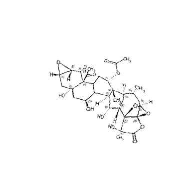 CC(=O)O[C@H]1CC2C([C@@H]3[C@@H](O)[C@@H]4[C@H]([C@H](C)[C@H]5O[C@]56OC(=O)[C@@](C)(O)[C@]46C)[C@@]13C)[C@@H](O)C[C@@]1(O)C[C@@H]3O[C@@H]3[C@H](O)[C@]21C(C)=O